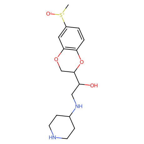 C[S+]([O-])c1ccc2c(c1)OCC(C(O)CNC1CCNCC1)O2